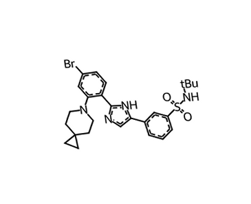 CC(C)(C)NS(=O)(=O)c1cccc(-c2cnc(-c3ccc(Br)cc3N3CCC4(CC3)CC4)[nH]2)c1